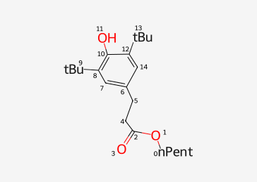 CCCCCOC(=O)CCc1cc(C(C)(C)C)c(O)c(C(C)(C)C)c1